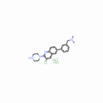 CN(C)Cc1cccc(-c2ccc3nc(N4CCNCC4)c(Cl)cc3c2)c1.Cl.Cl